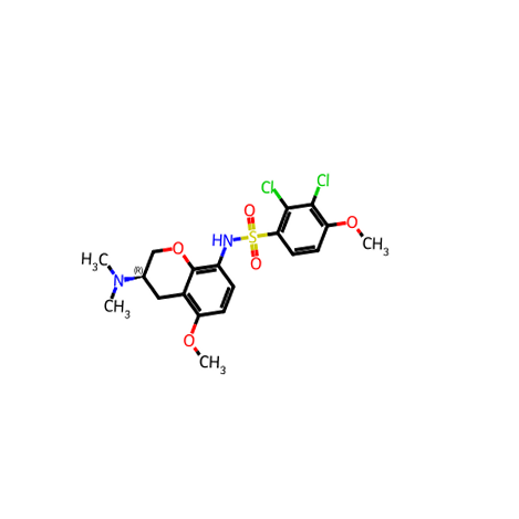 COc1ccc(S(=O)(=O)Nc2ccc(OC)c3c2OC[C@H](N(C)C)C3)c(Cl)c1Cl